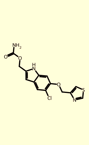 NC(=O)OCc1cc2cc(Cl)c(OCc3cscn3)cc2[nH]1